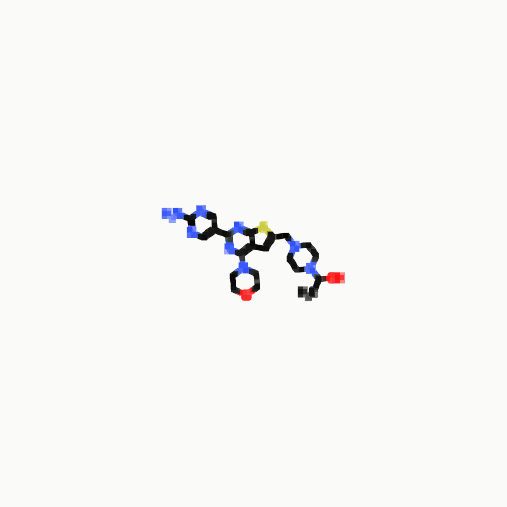 CC(O)N1CCN(Cc2cc3c(N4CCOCC4)nc(-c4cnc(N)nc4)nc3s2)CC1